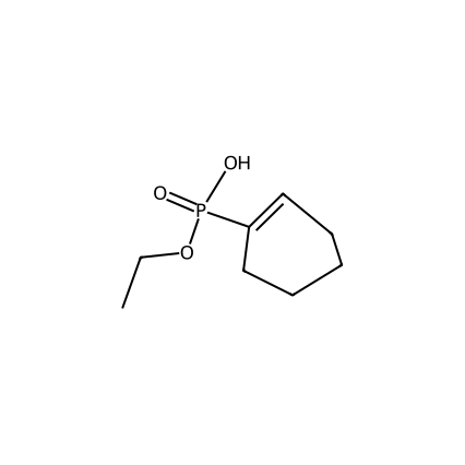 CCOP(=O)(O)C1=CCCCC1